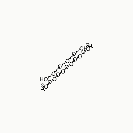 C=C(C)C(=O)OCCOCCOCCOCCOCCOCCOCCOCCOCCOCCOC(=O)C(=C)C.OCCCCOCCCCOCCCCOCCCCOCCCCO